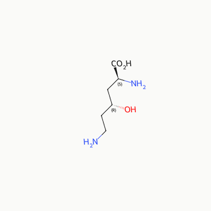 NCC[C@@H](O)C[C@H](N)C(=O)O